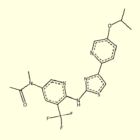 CC(=O)N(C)c1cnc(Nc2nc(-c3ccc(OC(C)C)cn3)cs2)c(C(F)(F)F)c1